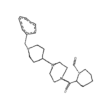 O=[C]N1CCCCC1C(=O)N1CCN(C2CCN(Cc3ccccc3)CC2)CC1